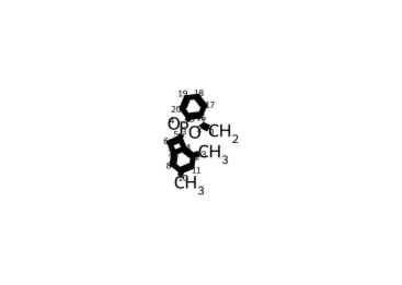 C=COP(=O)(C1=Cc2cc(C)cc(C)c21)c1ccccc1